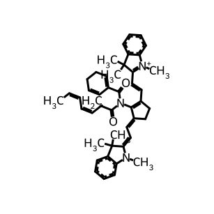 C=C(/C=C\C=C/C)C(=O)N(C(=O)C1=CCCC=C1)C1=C(/C=C/C2=[N+](C)c3ccccc3C2(C)C)CC/C1=C\C=C1\N(C)c2ccccc2C1(C)C